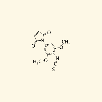 COc1cc(N2C(=O)C=CC2=O)cc(OC)c1N=C=S